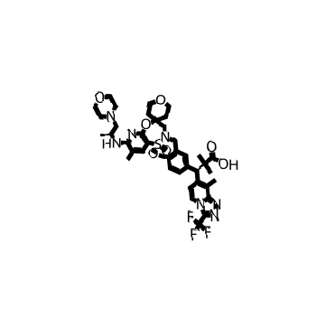 Cc1ccc([C@H](c2ccn3c(C(F)(F)F)nnc3c2C)C(C)(C)C(=O)O)cc1CN1CC2(CCOCC2)Oc2nc(N[C@@H](C)CN3CCOCC3)c(C)cc2S1(=O)=O